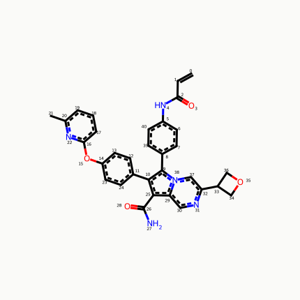 C=CC(=O)Nc1ccc(-c2c(-c3ccc(Oc4cccc(C)n4)cc3)c(C(N)=O)c3cnc(C4COC4)cn23)cc1